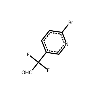 O=CC(F)(F)c1ccc(Br)nc1